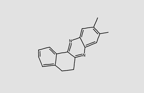 Cc1cc2nc3c(nc2cc1C)-c1ccccc1CC3